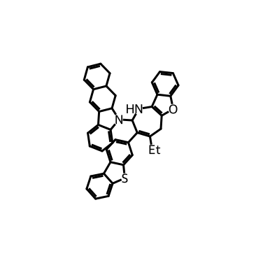 CCC1=C(c2ccc3c(c2)sc2ccccc23)C(N2c3ccccc3C3=CC4=CC=CCC4CC32)Nc2c(oc3ccccc23)C1